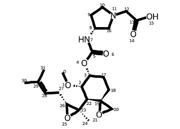 CO[C@@H]1[C@H](OC(=O)N[C@@H]2CCN(CC(=O)O)C2)CC[C@]2(CO2)[C@H]1[C@@]1(C)O[C@@H]1CC=C(C)C